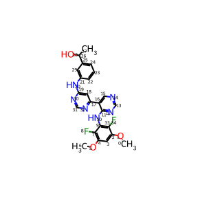 COc1cc(OC)c(F)c(Nc2ncncc2-c2cc(Nc3cccc(C(C)O)c3)ncn2)c1F